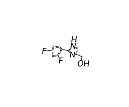 OCc1c[nH]c(-c2ccc(F)cc2F)n1